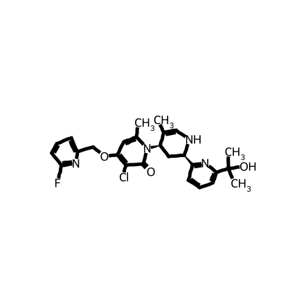 CC1=CN[C@@H](c2cccc(C(C)(C)O)n2)C[C@H]1n1c(C)cc(OCc2cccc(F)n2)c(Cl)c1=O